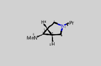 CN[C@H]1[C@@H]2CN(C(C)C)C[C@@H]21